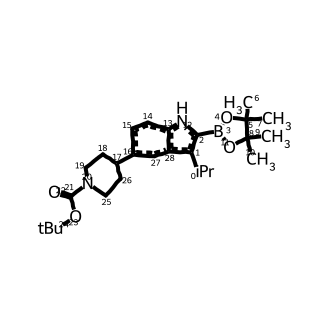 CC(C)c1c(B2OC(C)(C)C(C)(C)O2)[nH]c2ccc(C3CCN(C(=O)OC(C)(C)C)CC3)cc12